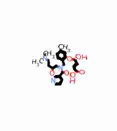 Cc1ccc(CN2CC(CCN(C)C)Oc3ncccc3C2=O)cc1.O=C(O)/C=C/C(=O)O